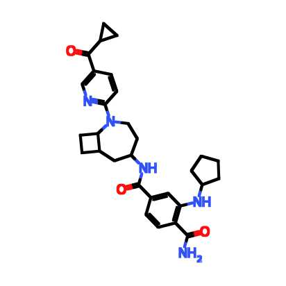 NC(=O)c1ccc(C(=O)NC2CCN(c3ccc(C(=O)C4CC4)cn3)C3CCC3C2)cc1NC1CCCC1